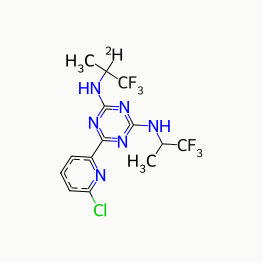 [2H]C(C)(Nc1nc(NC(C)C(F)(F)F)nc(-c2cccc(Cl)n2)n1)C(F)(F)F